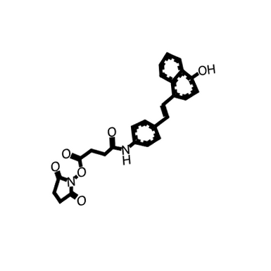 O=C(CCC(=O)ON1C(=O)CCC1=O)Nc1ccc(/C=C/c2ccc(O)c3ccccc23)cc1